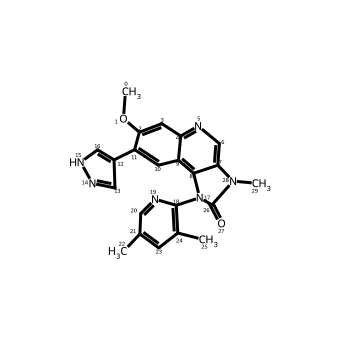 COc1cc2ncc3c(c2cc1-c1cn[nH]c1)n(-c1ncc(C)cc1C)c(=O)n3C